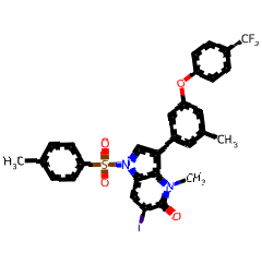 Cc1ccc(S(=O)(=O)n2cc(-c3cc(C)cc(Oc4ccc(C(F)(F)F)cc4)c3)c3c2cc(I)c(=O)n3C)cc1